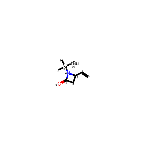 C=CC1CC(=O)N1[Si](C)(C)C(C)(C)C